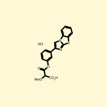 COC(C(=O)O)C(=O)Oc1cccc(-c2cn3c(n2)sc2ccccc23)c1.Cl